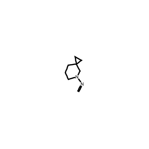 C=NN1CCCC2(CC2)C1